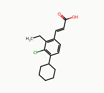 CCc1c(C=CC(=O)O)ccc(C2CCCCC2)c1Cl